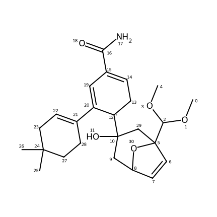 COC(OC)C12C=CC(CC(O)([C]3CC=C(C(N)=O)C=C3C3=CCC(C)(C)CC3)C1)O2